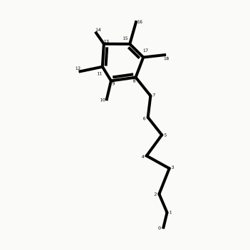 CCCCCCC[CH]c1c(C)c(C)c(C)c(C)c1C